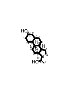 C[C@@H](O)[C@H]1CC[C@H]2[C@@H]3CCC4C[C@@H](O)CC[C@]4(C)[C@H]3CC[C@]12C